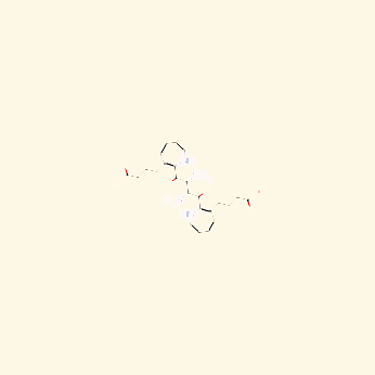 NC(C(=O)C1=C(CCCC(=O)O)C=CC=CN1)C(N)C(=O)C1=C(CCCC(=O)O)C=CC=CN1